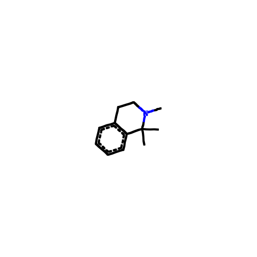 CN1CCc2ccccc2C1(C)C